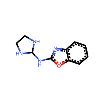 c1ccc2oc(NC3NCCN3)nc2c1